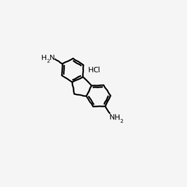 Cl.Nc1ccc2c(c1)Cc1cc(N)ccc1-2